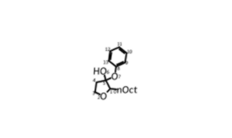 CCCCCCCCC1OCCC1(O)Oc1ccccc1